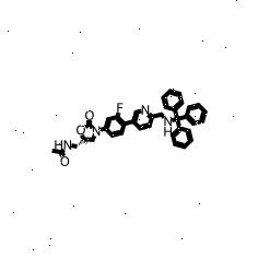 CC(=O)NC[C@H]1CN(c2ccc(-c3ccc(CNC(c4ccccc4)(c4ccccc4)c4ccccc4)nc3)c(F)c2)C(=O)O1